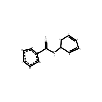 O=C(SC1C=CC=CC1)c1ccccc1